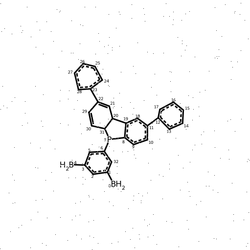 Bc1cc(B)cc(P2c3ccc(-c4ccccc4)cc3C3C=C(c4ccccc4)C=CC32)c1